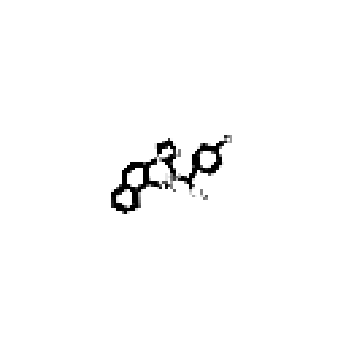 Cc1c(-n2ccnc2NC(C)c2ccc(Cl)cc2)ccc2ccccc12